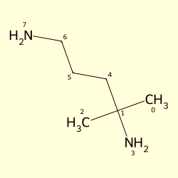 CC(C)(N)CCCN